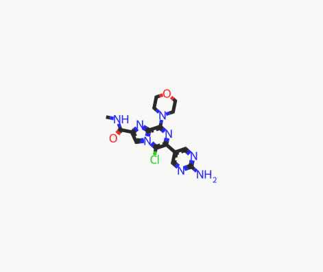 CNC(=O)c1cn2c(Cl)c(-c3cnc(N)nc3)nc(N3CCOCC3)c2n1